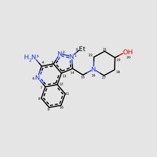 CCn1nc2c(N)nc3ccccc3c2c1CN1CCC(O)CC1